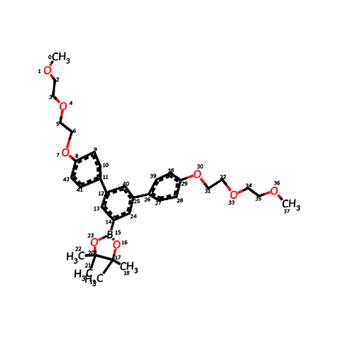 COCCOCCOc1ccc(-c2cc(B3OC(C)(C)C(C)(C)O3)cc(-c3ccc(OCCOCCOC)cc3)c2)cc1